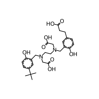 CC(C)(C)c1ccc(O)c(CN(CCN(CC(=O)O)Cc2cc(CCC(=O)O)ccc2O)CC(=O)O)c1